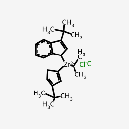 C[CH](C)[Zr+2]([C]1=CC(C(C)(C)C)=CC1)[CH]1C=C(C(C)(C)C)c2ccccc21.[Cl-].[Cl-]